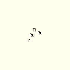 [Ir].[Ru].[Ru].[Ti]